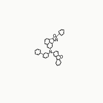 c1ccc(-c2cccc(N(c3cc4c5c(cccc5c3)-c3oc(-c5ccccc5)nc3-4)c3ccc4oc5ccccc5c4c3)c2)cc1